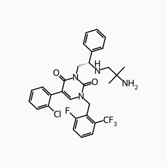 CC(C)(N)CN[C@H](Cn1c(=O)c(-c2ccccc2Cl)cn(Cc2c(F)cccc2C(F)(F)F)c1=O)c1ccccc1